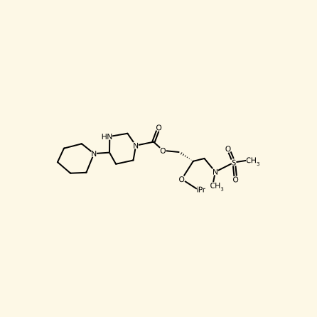 CC(C)O[C@H](COC(=O)N1CCC(N2CCCCC2)NC1)CN(C)S(C)(=O)=O